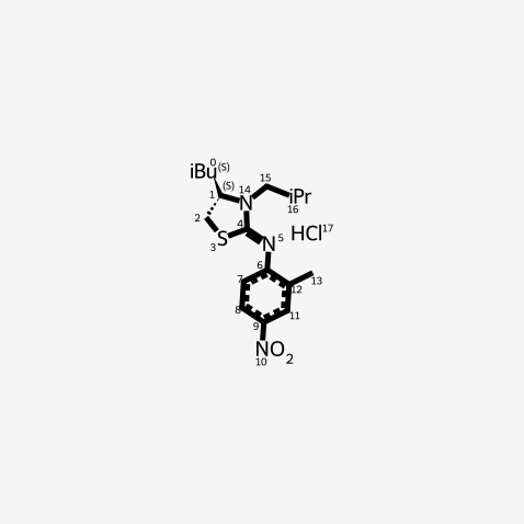 CC[C@H](C)[C@H]1CSC(=Nc2ccc([N+](=O)[O-])cc2C)N1CC(C)C.Cl